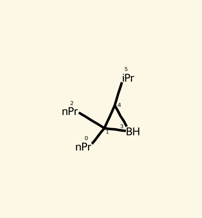 CCCC1(CCC)BC1C(C)C